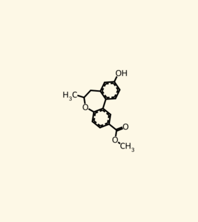 COC(=O)c1ccc2c(c1)-c1ccc(O)cc1CC(C)O2